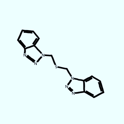 c1ccc2c(c1)nnn2CSCn1nnc2ccccc21